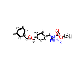 CC(C)(C)OC(=O)N(N)C[C@H]1CC[C@H](COCc2ccccc2)CC1